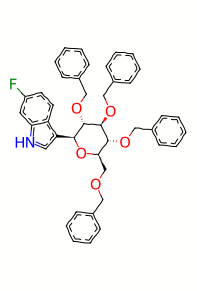 Fc1ccc2c([C@@H]3O[C@H](COCc4ccccc4)[C@@H](OCc4ccccc4)[C@H](OCc4ccccc4)[C@H]3OCc3ccccc3)c[nH]c2c1